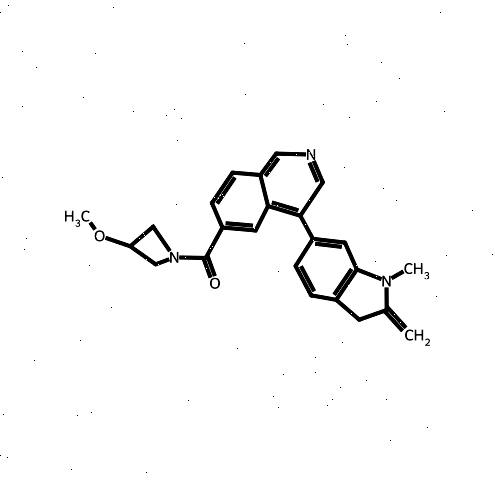 C=C1Cc2ccc(-c3cncc4ccc(C(=O)N5CC(OC)C5)cc34)cc2N1C